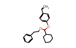 C=Cc1ccc(OC(OCCc2ccccc2)C2CCCCC2)cc1